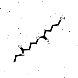 CCOC(=O)CCCOC(=O)CCCCO